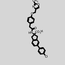 Cc1nc(COc2ccc(CC(=O)NC3(C(=O)O)Cc4ccc(-c5ccc(Cl)cc5)cc4C3)cc2)co1